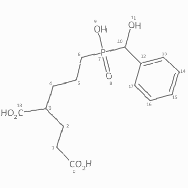 O=C(O)CCC(CCCP(=O)(O)C(O)c1ccccc1)C(=O)O